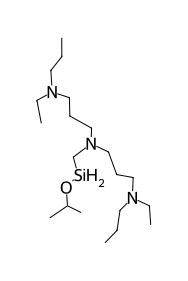 CCCN(CC)CCCN(CCCN(CC)CCC)C[SiH2]OC(C)C